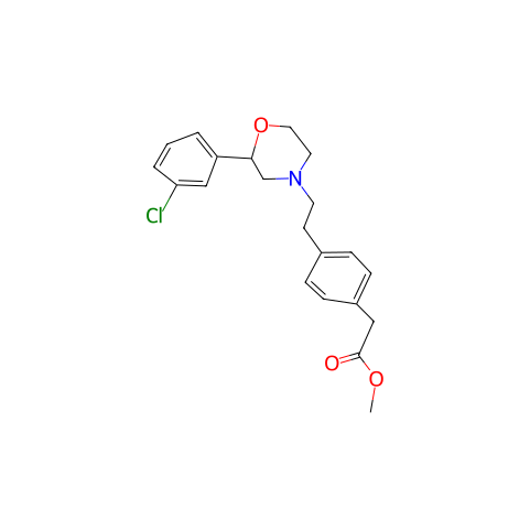 COC(=O)Cc1ccc(CCN2CCOC(c3cccc(Cl)c3)C2)cc1